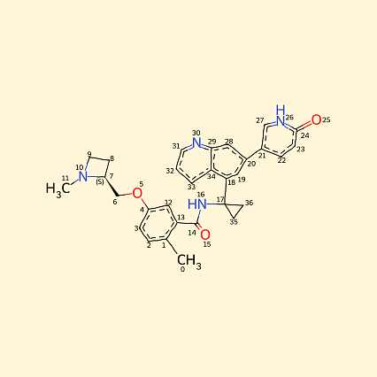 Cc1ccc(OC[C@@H]2CCN2C)cc1C(=O)NC1(c2cc(-c3ccc(=O)[nH]c3)cc3ncccc23)CC1